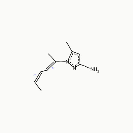 C/C=C\C=C(/C)n1nc(N)cc1C